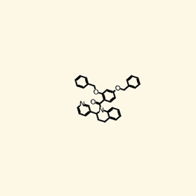 O=C(c1ccc(OCc2ccccc2)cc1OCc1ccccc1)N1c2ccccc2CCC1c1cccnc1